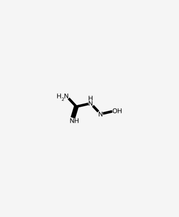 N=C(N)N[N]O